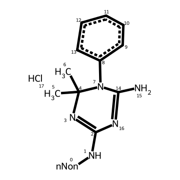 CCCCCCCCCNC1=NC(C)(C)N(c2ccccc2)C(N)=N1.Cl